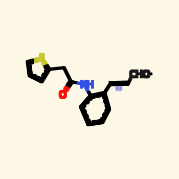 O=[C]/C=C/c1ccccc1NC(=O)Cc1cccs1